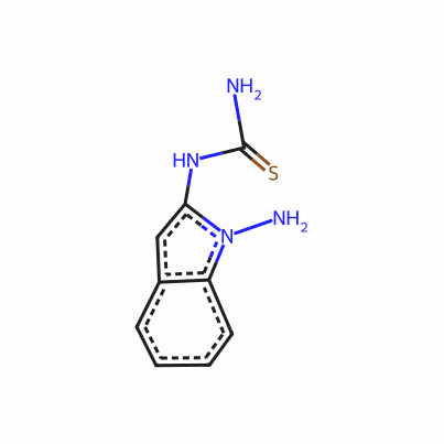 NC(=S)Nc1cc2ccccc2n1N